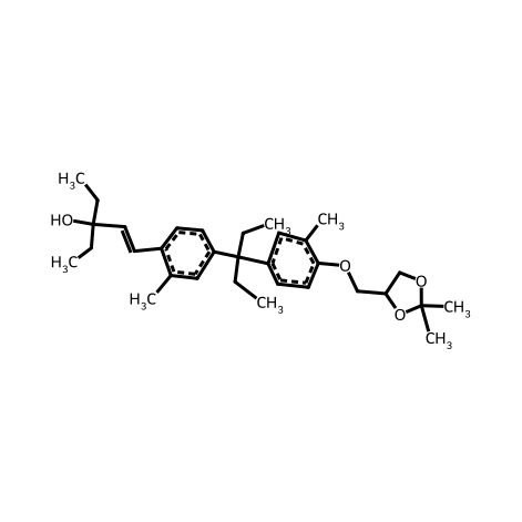 CCC(O)(C=Cc1ccc(C(CC)(CC)c2ccc(OCC3COC(C)(C)O3)c(C)c2)cc1C)CC